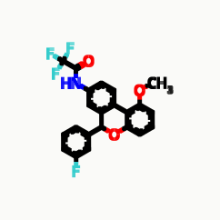 COc1cccc2c1-c1ccc(NC(=O)C(F)(F)F)cc1C(c1cccc(F)c1)O2